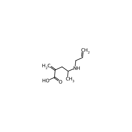 C=CCNC(C)CC(=C)C(=O)O